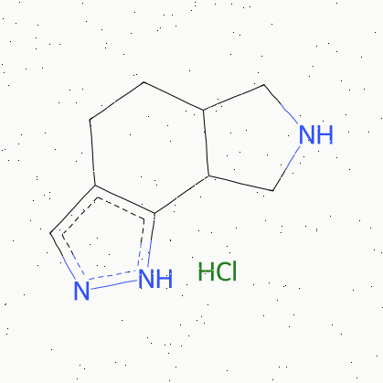 Cl.c1n[nH]c2c1CCC1CNCC21